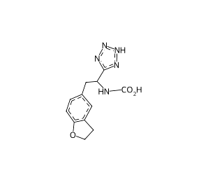 O=C(O)NC(Cc1ccc2c(c1)CCO2)c1nn[nH]n1